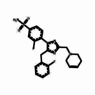 NS(=O)(=O)c1ccc(-n2nc(CN3CC=CCC3)nc2Cc2ccccc2F)c(F)c1